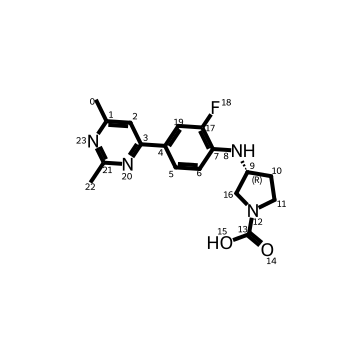 Cc1cc(-c2ccc(N[C@@H]3CCN(C(=O)O)C3)c(F)c2)nc(C)n1